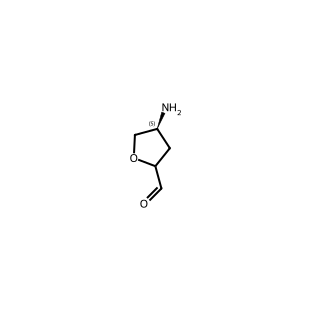 N[C@@H]1COC(C=O)C1